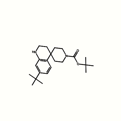 CC(C)(C)OC(=O)N1CCC2(CCNc3cc(C(C)(C)C)ccc32)CC1